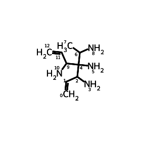 C=CC(N)C(N)(C(C)N)C(N)C=C